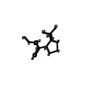 CCOC(=O)C1CCCC1=C(C)C